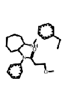 CCc1ccccc1.CNC1CCCCCC1N(C(=O)CCOC)c1ccccc1